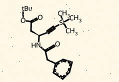 CC(C)(C)OC(=O)C[C@@H](C#C[Si](C)(C)C)NC(=O)Cc1ccccc1